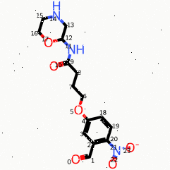 O=Cc1cc(OCCCC(=O)NC2CNCCO2)ccc1[N+](=O)[O-]